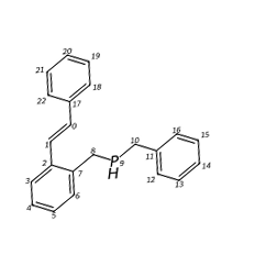 C(=Cc1ccccc1CPCc1ccccc1)c1ccccc1